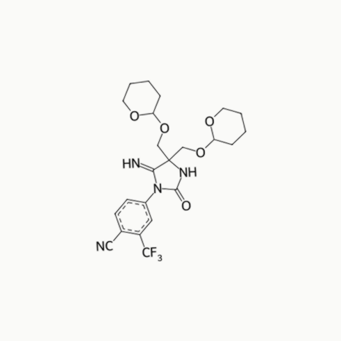 N#Cc1ccc(N2C(=N)C(COC3CCCCO3)(COC3CCCCO3)NC2=O)cc1C(F)(F)F